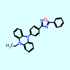 CCN1c2ccccc2N(c2ccc(-c3noc(-c4ccccc4)n3)cc2)c2ccccc21